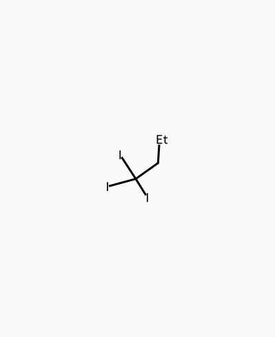 [CH2]CCC(I)(I)I